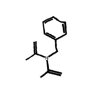 C=C(C)N(Cc1ccccc1)C(=C)C